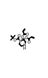 C=CC(=O)OC1(OC(=O)C=C)CNCCN1C(=O)OC(C)(C)C